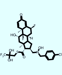 C[C@]12C[C@H](O)[C@@]3(F)[C@@H](C[C@H](F)C4=CC(=O)C=C[C@@]43C)C1C[C@@H](CN(O)Cc1ccc(Cl)cc1)[C@@H]2C(=O)SCC(O)(O)C(F)(F)F